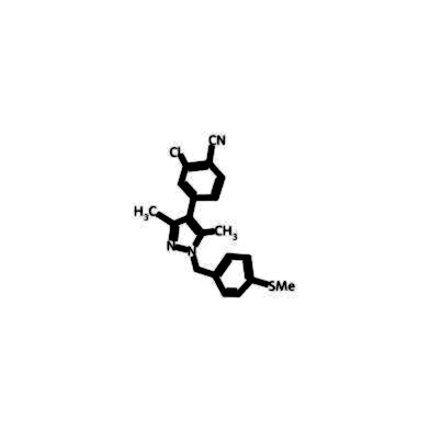 CSc1ccc(Cn2nc(C)c(-c3ccc(C#N)c(Cl)c3)c2C)cc1